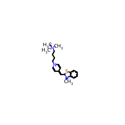 CN1c2ccccc2SC1C=C1C=CN(CCCC[N+](C)(C)C)C=C1